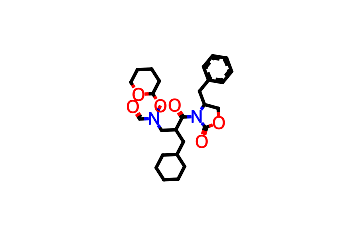 O=CN(CC(CC1CCCCC1)C(=O)N1C(=O)OCC1Cc1ccccc1)OC1CCCCO1